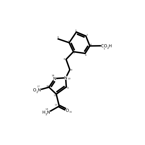 Cc1ccc(C(=O)O)cc1CCn1cc(C(N)=O)c([N+](=O)[O-])n1